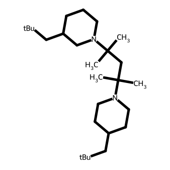 CC(C)(C)CC1CCN(C(C)(C)CC(C)(C)N2CCCC(CC(C)(C)C)C2)CC1